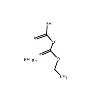 CCOC(=S)OC(=S)S.[KH].[KH]